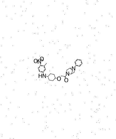 Cc1cc(NC2CCC(OCC(=O)N3CC4CC3CN4c3ccccc3)CC2)ccc1[N+](=O)[O-]